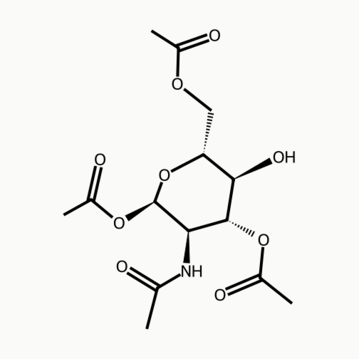 CC(=O)N[C@H]1[C@@H](OC(C)=O)O[C@H](COC(C)=O)[C@@H](O)[C@@H]1OC(C)=O